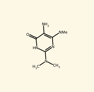 CNc1nc(N(C)C)[nH]c(=O)c1N